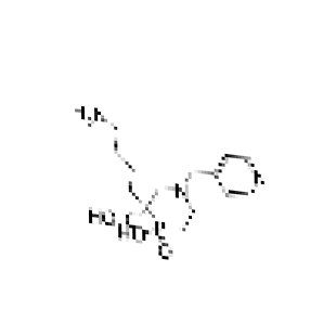 NCCCCC1(C(=O)O)CN(Cc2ccncc2)CCP1(=O)O